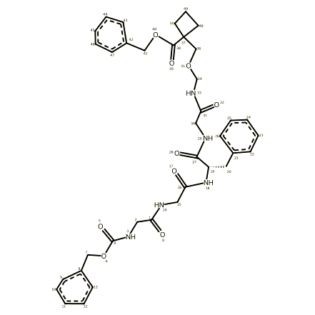 O=C(CNC(=O)OCc1ccccc1)NCC(=O)N[C@@H](Cc1ccccc1)C(=O)NCC(=O)NCOCC1(C(=O)OCc2ccccc2)CCC1